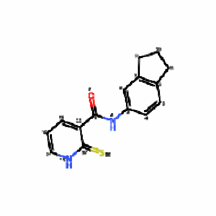 O=C(Nc1ccc2c(c1)CCC2)c1ccc[nH]c1=S